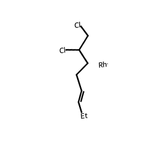 CCC=CCCC(Cl)CCl.[Rh]